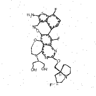 N#Cc1c(N)sc2c(F)ccc(-c3c(Cl)c4c5c(nc(OC[C@@]67CCCN6C[C@H](F)C7)nc5c3F)N(C(CO)CO)CCO4)c12